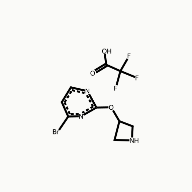 Brc1ccnc(OC2CNC2)n1.O=C(O)C(F)(F)F